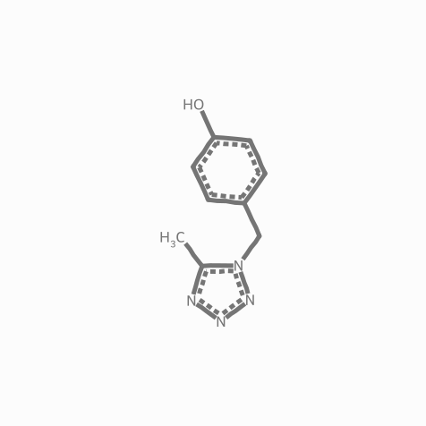 Cc1nnnn1Cc1ccc(O)cc1